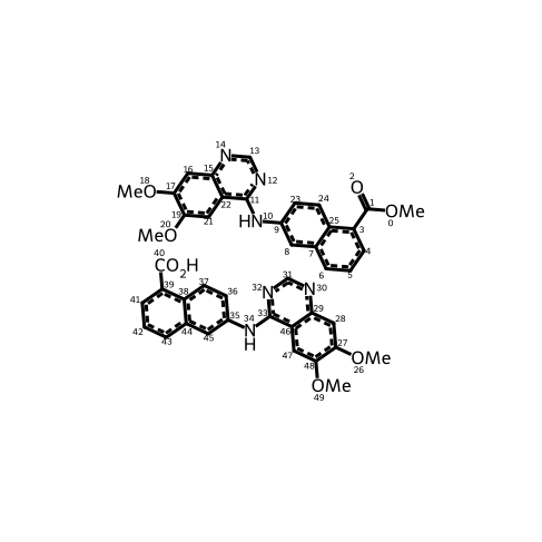 COC(=O)c1cccc2cc(Nc3ncnc4cc(OC)c(OC)cc34)ccc12.COc1cc2ncnc(Nc3ccc4c(C(=O)O)cccc4c3)c2cc1OC